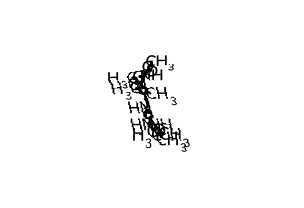 CCOC(=O)CNC(=O)CN(C(=O)CC)c1cc(C)c(C#CCNc2ccc(C(=N)NC(=O)OC(C)(C)C)cc2)cc1C